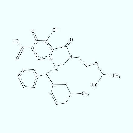 CC1C=C(C(c2ccccc2)[C@H]2CN(CCOC(C)C)C(=O)c3c(O)c(=O)c(C(=O)O)cn32)C=CC1